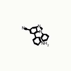 N#Cc1cc(-c2cccc(N)c2)c2c(c1)ncn2-c1ccccc1